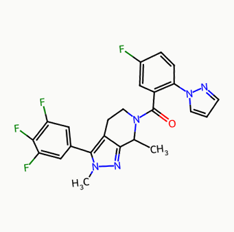 CC1c2nn(C)c(-c3cc(F)c(F)c(F)c3)c2CCN1C(=O)c1cc(F)ccc1-n1cccn1